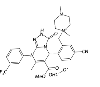 COC(=O)C1=C(C)N(c2cccc(C(F)(F)F)c2)c2n[nH]c(=O)n2[C@@H]1c1ccc(C#N)cc1C[N+]1(C)CCN(C)CC1.O=C[O-]